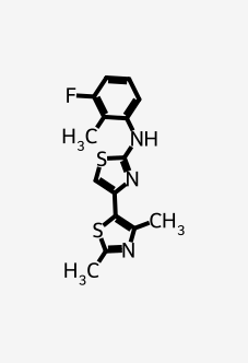 Cc1nc(C)c(-c2csc(Nc3cccc(F)c3C)n2)s1